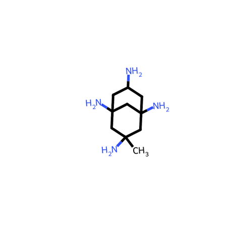 CC1(N)CC2(N)CC(N)CC(N)(C1)C2